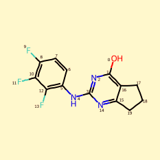 Oc1nc(Nc2ccc(F)c(F)c2F)nc2c1CCC2